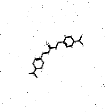 CC(C)C1CC=C(CCC(=O)CCC2=CCC(C(C)C)CC2)CC1